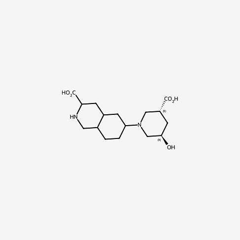 O=C(O)C1CC2CC(N3C[C@H](O)C[C@@H](C(=O)O)C3)CCC2CN1